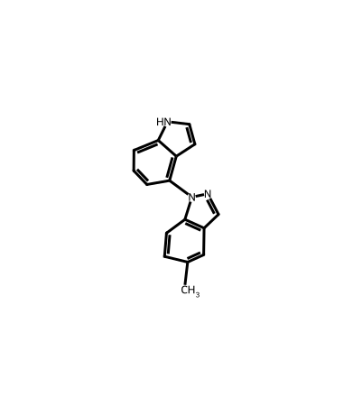 Cc1ccc2c(cnn2-c2cccc3[nH]ccc23)c1